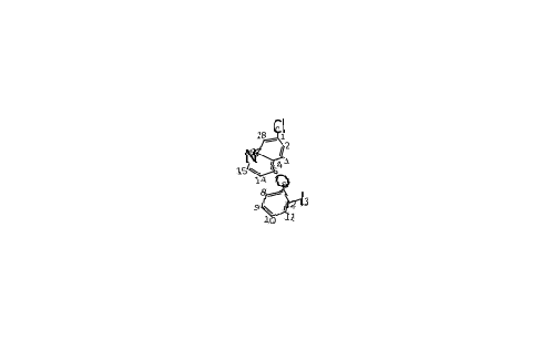 Clc1ccc2c(Oc3ccccc3I)ccnc2c1